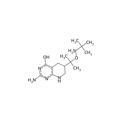 CC(C)(C)[SiH2]OC(C)(C)C1CNc2nc(N)nc(O)c2C1